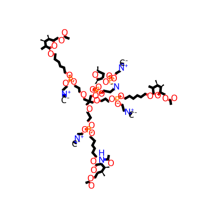 [C-]#[N+]CCOP(OCCCCCCO[C@@H]1OC(COC(C)=O)[C@H](C)[C@H](C)C1C)OCCCOCC(COCCCOP(OCCCCCCO[C@@H]1OC(COC(C)=O)[C@H](C)[C@H](C)C1C)OCC[N+]#[C-])(COCCCOP(OCCCCCCO[C@@H]1OC(COC(C)=O)[C@H](C)[C@H](C)C1NC(C)=O)OCC[N+]#[C-])COP(=O)(OCCC#N)OC[C@H]1O[C@@H](C)CC1OP(C)(=O)OCC[N+]#[C-]